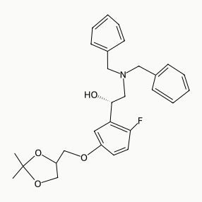 CC1(C)OCC(COc2ccc(F)c([C@H](O)CN(Cc3ccccc3)Cc3ccccc3)c2)O1